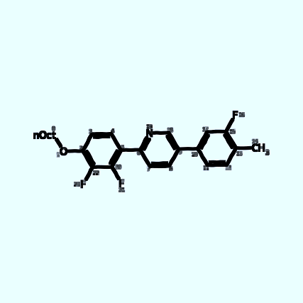 CCCCCCCCOc1ccc(-c2ccc(-c3ccc(C)c(F)c3)cn2)c(F)c1F